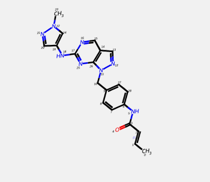 C/C=C/C(=O)Nc1ccc(Cn2ncc3cnc(Nc4cnn(C)c4)nc32)cc1